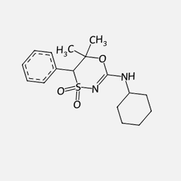 CC1(C)OC(NC2CCCCC2)=NS(=O)(=O)C1c1ccccc1